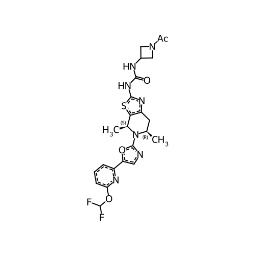 CC(=O)N1CC(NC(=O)Nc2nc3c(s2)[C@H](C)N(c2ncc(-c4cccc(OC(F)F)n4)o2)[C@H](C)C3)C1